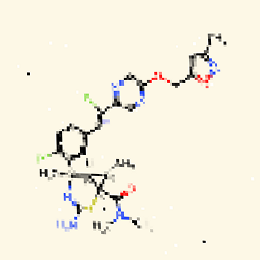 Cc1cc(COc2cnc(/C(F)=C/c3ccc(F)c([C@@]4(C)N=C(N)S[C@@]5(C(=O)N(C)C)[C@@H](C)[C@@H]54)c3)cn2)on1